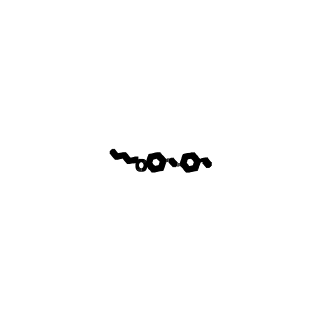 C=C[C@H]1CC[C@H](CC[C@H]2CC[C@H](OCCCCC)CC2)CC1